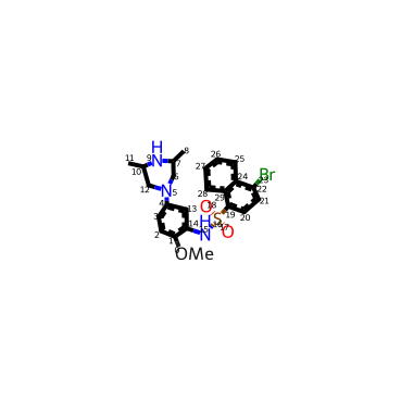 COc1ccc(N2CC(C)NC(C)C2)cc1NS(=O)(=O)c1ccc(Br)c2ccccc12